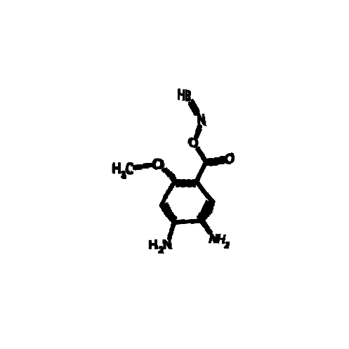 B=NOC(=O)c1cc(N)c(N)cc1OC